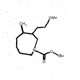 COCCC1CN(C(=O)OC(C)(C)C)CCCCC1C